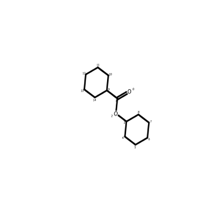 O=C(OC1CCCCC1)C1CCCCC1